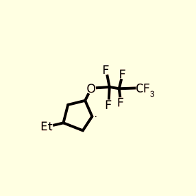 [CH2]CC1C[CH]C(OC(F)(F)C(F)(F)C(F)(F)F)C1